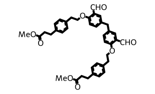 COC(=O)CCc1ccc(CCOc2ccc(Cc3ccc(OCCc4ccc(CCC(=O)OC)cc4)c(C=O)c3)cc2C=O)cc1